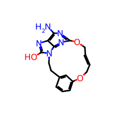 Nc1nc2nc3c1nc(O)n3CCc1cccc(c1)OC/C=C/CO2